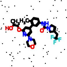 Cc1ccc(NC(=O)N2CC=C(CC(F)(F)F)C2)cc1-c1cc(OC[C@@H](C)O)nc(N2CCOCC2)c1